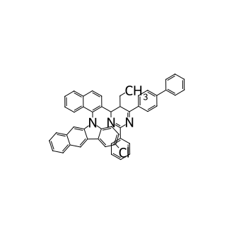 CCC1C(c2ccc(-c3ccccc3)cc2)=NC(c2ccccc2)=NC1c1ccc2ccccc2c1-n1c2ccc(Cl)cc2c2cc3ccccc3cc21